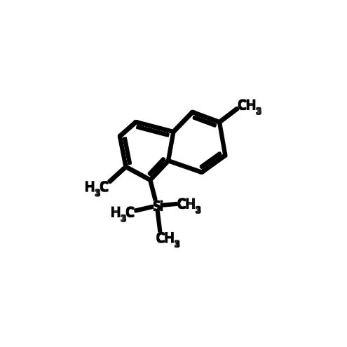 Cc1ccc2c([Si](C)(C)C)c(C)ccc2c1